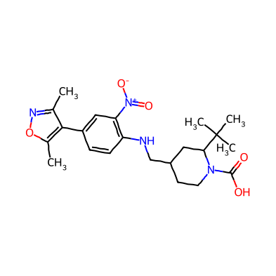 Cc1noc(C)c1-c1ccc(NCC2CCN(C(=O)O)C(C(C)(C)C)C2)c([N+](=O)[O-])c1